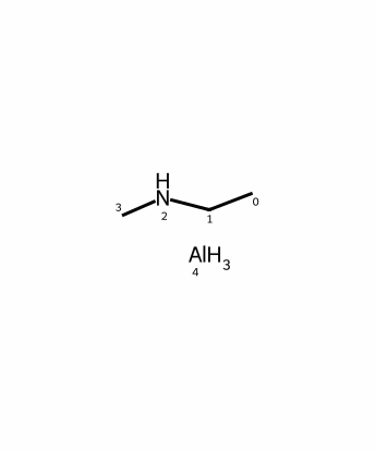 CCNC.[AlH3]